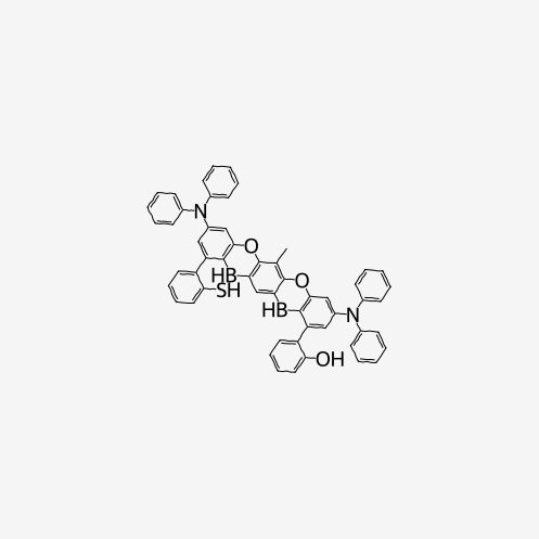 Cc1c2c(cc3c1Oc1cc(N(c4ccccc4)c4ccccc4)cc(-c4ccccc4S)c1B3)Bc1c(cc(N(c3ccccc3)c3ccccc3)cc1-c1ccccc1O)O2